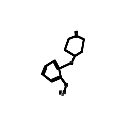 FC(F)(F)Oc1ccccc1OC1CCNCC1